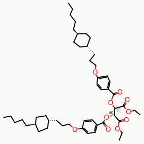 CCCCC[C@H]1CC[C@H](CCCOc2ccc(C(=O)O[C@@H](C(=O)OCC)[C@@H](OC(=O)c3ccc(OCCC[C@H]4CC[C@H](CCCCC)CC4)cc3)C(=O)OCC)cc2)CC1